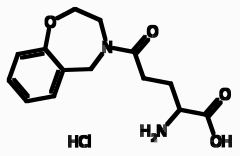 Cl.NC(CCC(=O)N1CCOc2ccccc2C1)C(=O)O